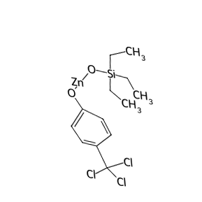 CC[Si](CC)(CC)[O][Zn][O]c1ccc(C(Cl)(Cl)Cl)cc1